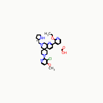 CCOc1ncccc1-c1ccc2c(n1)CN(C[C@H]1CCCN1)CC21CCN(c2nccc(OC)c2Cl)CC1.O=CO